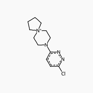 Clc1ccc(N2CC[N+]3(CCCC3)CC2)nn1